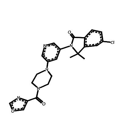 CC1(C)c2cc(Cl)ccc2C(=O)N1c1cncc(N2CCN(C(=O)c3cocn3)CC2)c1